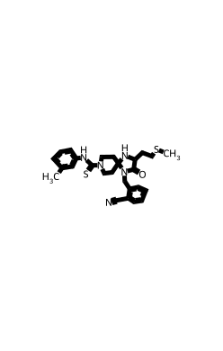 CSCCC1NC2(CCN(C(=S)Nc3cccc(C)c3)CC2)N(Cc2ccccc2C#N)C1=O